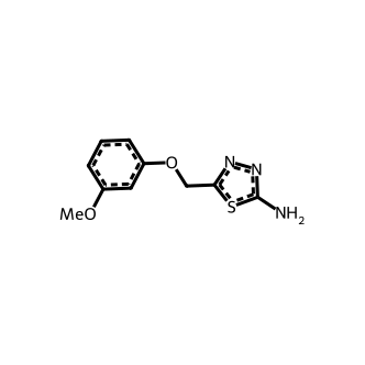 COc1cccc(OCc2nnc(N)s2)c1